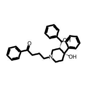 O=C(CCCN1CC[C@](O)(c2ccccc2)[C@@H](C(O)c2ccccc2)C1)c1ccccc1